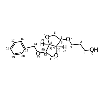 OCCCO[C@@H]1CO[C@H]2[C@@H]1OC[C@H]2OCc1ccccc1